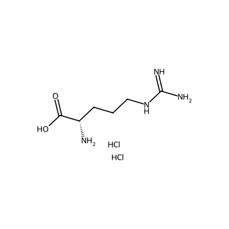 Cl.Cl.N=C(N)NCCC[C@H](N)C(=O)O